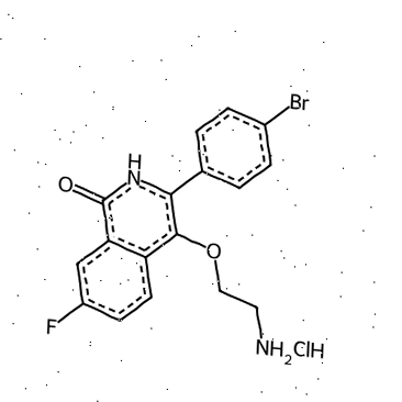 Cl.NCCOc1c(-c2ccc(Br)cc2)[nH]c(=O)c2cc(F)ccc12